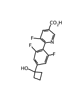 O=C(O)c1cnc(-c2c(F)cc(C3(O)CCC3)cc2F)c(F)c1